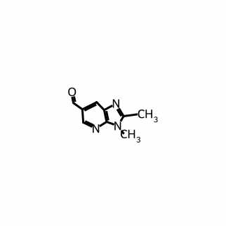 Cc1nc2cc(C=O)cnc2n1C